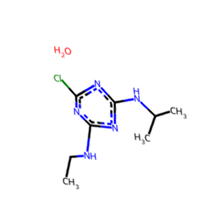 CCNc1nc(Cl)nc(NC(C)C)n1.O